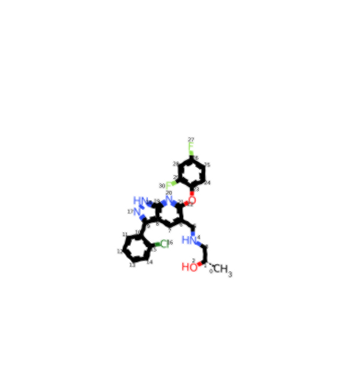 C[C@H](O)CNCc1cc2c(-c3ccccc3Cl)n[nH]c2nc1Oc1ccc(F)cc1F